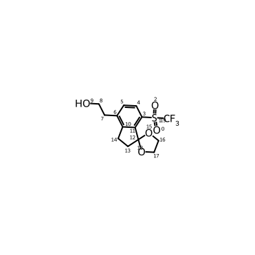 O=S(=O)(c1ccc(CCO)c2c1C1(CC2)OCCO1)C(F)(F)F